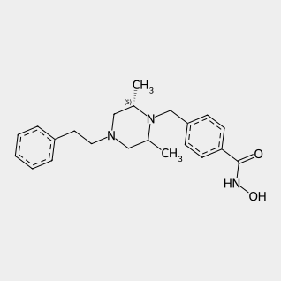 CC1CN(CCc2ccccc2)C[C@H](C)N1Cc1ccc(C(=O)NO)cc1